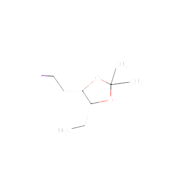 CC[C@H]1OC(C)(C)O[C@H]1CCI